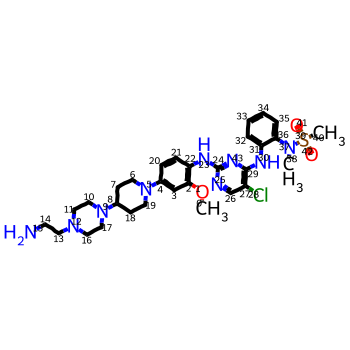 COc1cc(N2CCC(N3CCN(CCN)CC3)CC2)ccc1Nc1ncc(Cl)c(Nc2ccccc2N(C)S(C)(=O)=O)n1